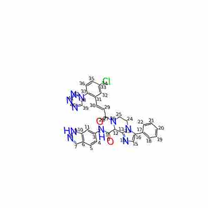 O=C(Nc1ccc2cn[nH]c2c1)C1c2ncc(-c3ccccc3)n2CCN1C(=O)C=Cc1cc(Cl)ccc1-n1cnnn1